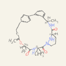 C=C1CCc2ccc(cc2)-c2cccc(c2)[C@@H](C)NC(=O)[C@@H]2CCCN(N2)C(=O)[C@H](C)NC(=O)[C@H](C(C)C)O1